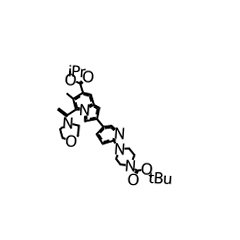 C=C(c1c(C)c(C(=O)OC(C)C)cc2cc(-c3ccc(N4CCN(C(=O)OC(C)(C)C)CC4)nc3)cn12)N1CCOCC1